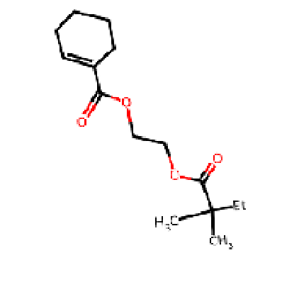 CCC(C)(C)C(=O)OCCOC(=O)C1=CCCCC1